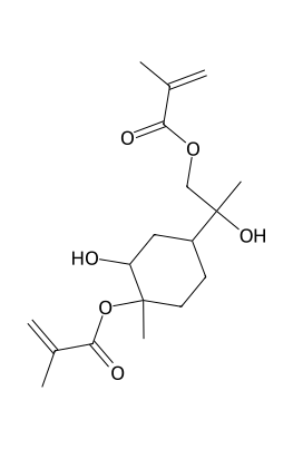 C=C(C)C(=O)OCC(C)(O)C1CCC(C)(OC(=O)C(=C)C)C(O)C1